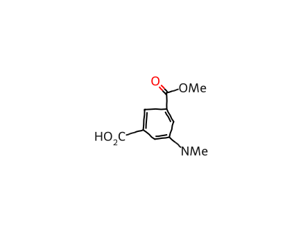 CNc1cc(C(=O)O)cc(C(=O)OC)c1